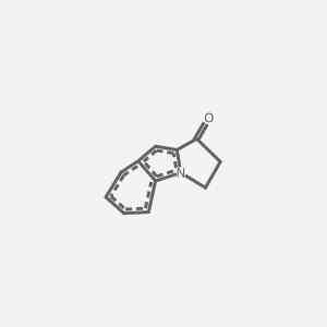 O=C1CCn2c1cc1ccccc12